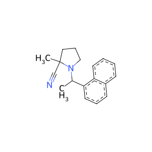 CC(c1cccc2ccccc12)N1CCCC1(C)C#N